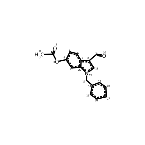 CC(=O)Oc1ccc2c(C=O)cn(Cc3ccccc3)c2c1